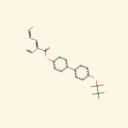 C=C/C(=C\C=C/C)C(=O)Oc1ccc(-c2ccc(OC(C)(CC)C(C)(CC)C(C)=O)cc2)cc1